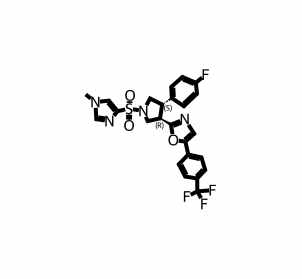 Cn1cnc(S(=O)(=O)N2C[C@H](c3ccc(F)cc3)[C@@H](c3ncc(-c4ccc(C(F)(F)F)cc4)o3)C2)c1